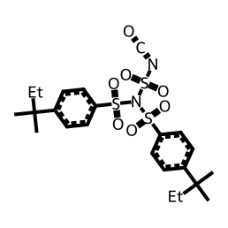 CCC(C)(C)c1ccc(S(=O)(=O)N(S(=O)(=O)N=C=O)S(=O)(=O)c2ccc(C(C)(C)CC)cc2)cc1